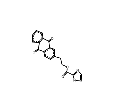 O=C(OCCc1ccc2c(c1)C(=O)c1ccccc1C2=O)C1=NC=C[N]1